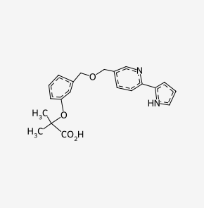 CC(C)(Oc1cccc(COCc2ccc(-c3ccc[nH]3)nc2)c1)C(=O)O